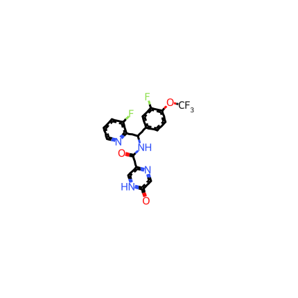 O=C(NC(c1ccc(OC(F)(F)F)c(F)c1)c1ncccc1F)c1c[nH]c(=O)cn1